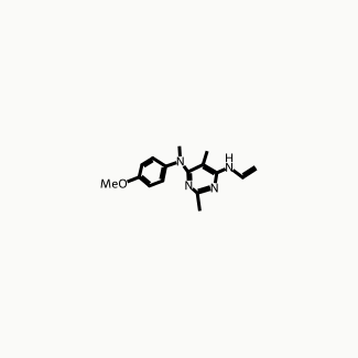 C=CNc1nc(C)nc(N(C)c2ccc(OC)cc2)c1C